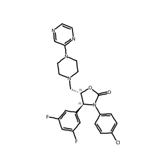 O=C1O[C@@H](CN2CCN(c3cnccn3)CC2)[C@H](c2cc(F)cc(F)c2)N1c1ccc(Cl)cc1